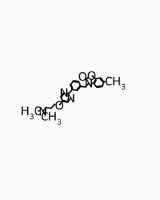 Cc1ccc2c(c1)oc(=O)n2Cc1cccc(-c2ncc(OCCCN(C)C)cn2)c1